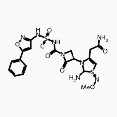 CO/N=S1/C=C(CC(N)=O)N(C2CN(C(=O)NS(=O)(=O)Nc3cc(-c4ccccc4)on3)C2=O)C1N